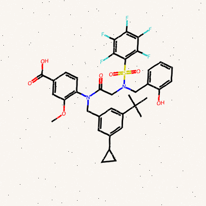 COc1cc(C(=O)O)ccc1N(Cc1cc(C2CC2)cc(C(C)(C)C)c1)C(=O)CN(Cc1ccccc1O)S(=O)(=O)c1c(F)c(F)c(F)c(F)c1F